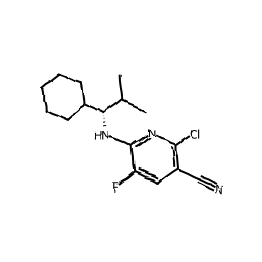 CC(C)[C@H](Nc1nc(Cl)c(C#N)cc1F)C1CCCCC1